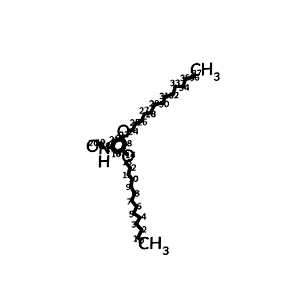 CCCCCCCCCCCCCCOc1cc(N[C]=O)cc(OCCCCCCCCCCCCCC)c1